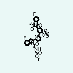 CCOC(=O)CNCC1Oc2ccc(-c3cc4c(C(=O)NC)c(-c5ccc(F)cc5)oc4cc3N(C)S(C)(=O)=O)nc2-c2cc3c(F)cccc3n21